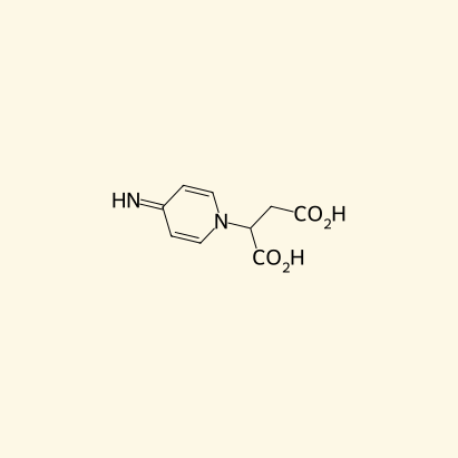 N=c1ccn(C(CC(=O)O)C(=O)O)cc1